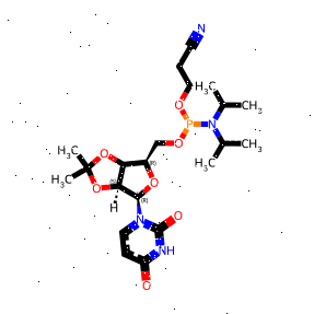 CC(C)N(C(C)C)P(OCCC#N)OC[C@H]1O[C@@H](n2ccc(=O)[nH]c2=O)[C@H]2OC(C)(C)OC12